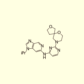 CC(C)n1cnc2cnc(Nc3ccnc(N4CCOC5(CCOC5)C4)n3)cc21